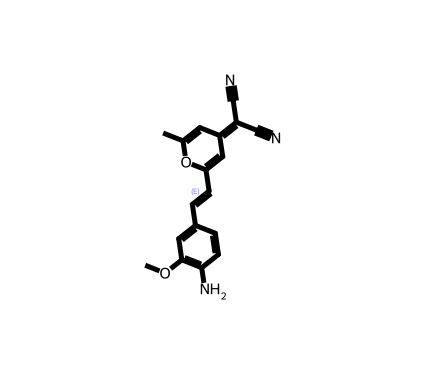 COc1cc(/C=C/C2=CC(=C(C#N)C#N)C=C(C)O2)ccc1N